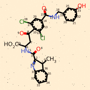 CC1C(C(=O)NC(CC(=O)c2c(Cl)cc(C(=O)NCc3cccc(O)c3)cc2Cl)C(=O)O)=Nc2ccccc21